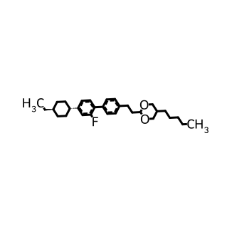 CCCCCC1COC(CCc2ccc(-c3ccc([C@H]4CC[C@H](CC)CC4)cc3F)cc2)OC1